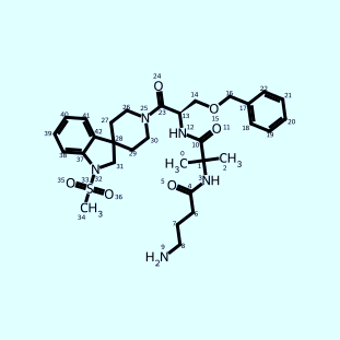 CC(C)(NC(=O)CCCN)C(=O)N[C@H](COCc1ccccc1)C(=O)N1CCC2(CC1)CN(S(C)(=O)=O)c1ccccc12